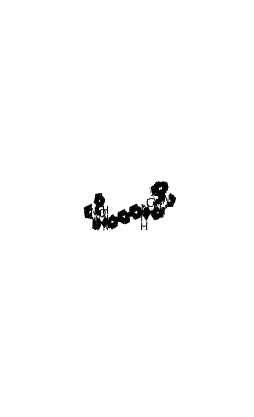 O=C([C@@H](c1ccccc1)N1CCCC1)N1CCC[C@H]1c1nc2ccc(-c3ccc(-c4ccc5nc([C@@H]6CCCN6C(=O)[C@@H](c6ccccc6)N6CCCC6)[nH]c5c4)cc3)cc2[nH]1